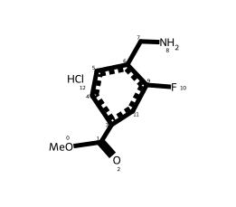 COC(=O)c1ccc(CN)c(F)c1.Cl